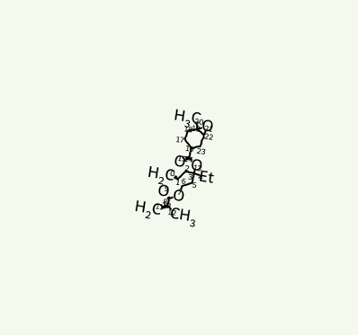 C=CCC(CC)(CCOC(=O)C(=C)C)OC(=O)C1CCC2(C)OC2C1